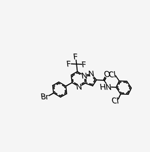 O=C(Nc1c(Cl)cccc1Cl)c1cc2nc(-c3ccc(Br)cc3)cc(C(F)(F)F)n2n1